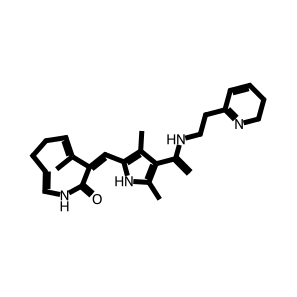 C=C(NCCC1=NCCC=C1)c1c(C)[nH]c(/C=C2C(=O)N/C=C/CC\C=C\2C)c1C